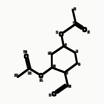 CC(=O)OC1CCC([C]=O)C(OC(C)=O)C1